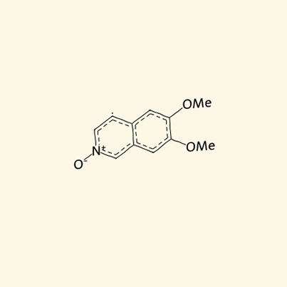 COc1cc2[c]c[n+]([O-])cc2cc1OC